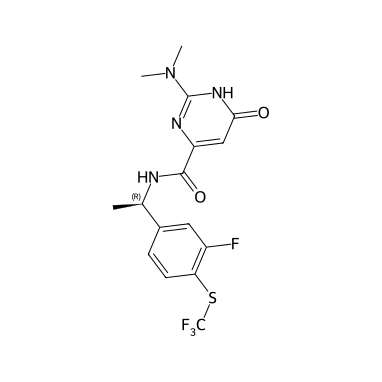 C[C@@H](NC(=O)c1cc(=O)[nH]c(N(C)C)n1)c1ccc(SC(F)(F)F)c(F)c1